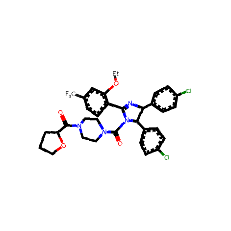 CCOc1cc(C(F)(F)F)ccc1C1=NC(c2ccc(Cl)cc2)C(c2ccc(Cl)cc2)N1C(=O)N1CCN(C(=O)C2CCCO2)CC1